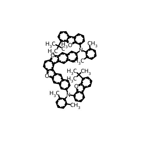 Cc1cccc(C)c1N(c1ccc2cc3c(cc2c1)oc1ccc2oc4cc5cc(N(c6c(C)cccc6C)c6cccc7c6oc6c(C(C)(C)C)cccc67)ccc5cc4c2c13)c1cccc2c1oc1c(C(C)(C)C)cccc12